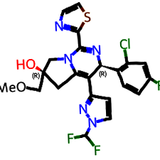 COC[C@@]1(O)CC2=C(c3ccn(C(F)F)n3)[C@H](c3ccc(F)cc3Cl)N=C(c3nccs3)N2C1